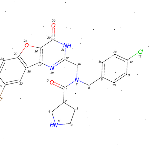 O=C(C1CCNC1)N(Cc1ccc(Cl)cc1)Cc1nc2c(oc3ccc(Br)cc32)c(=O)[nH]1